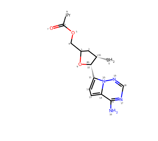 B[C@H]1CC(COC(=O)C(C)C)O[C@H]1c1ccc2c(N)ncnn12